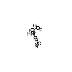 COc1ccc(F)cc1-c1ccnc2[nH]c(C3=CC4CN(C(=O)OC(C)(C)C)CC4C3)cc12